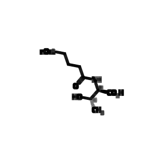 CCCCCCCCCCCC(=O)N[C@@H](C(=O)O)[C@H](C)O